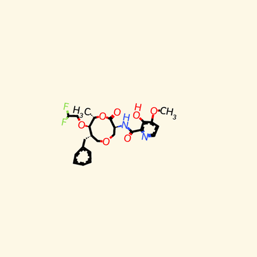 COc1ccnc(C(=O)N[C@H]2COC[C@H](Cc3ccccc3)[C@@H](OCC(F)F)[C@H](C)OC2=O)c1O